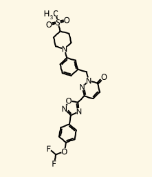 CS(=O)(=O)C1CCN(c2cccc(Cn3nc(-c4nc(-c5ccc(OC(F)F)cc5)no4)ccc3=O)c2)CC1